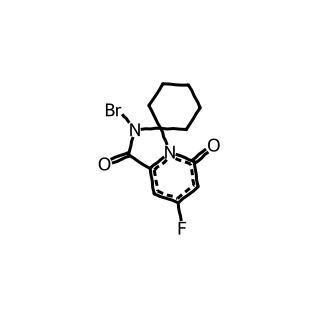 O=C1c2cc(F)cc(=O)n2C2(CCCCC2)N1Br